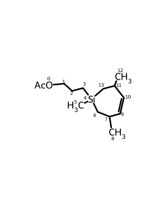 CC(=O)OCCC[Si]1(C)CC(C)C=CC(C)C1